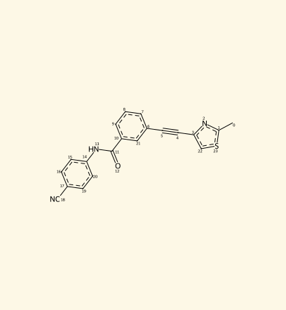 Cc1nc(C#Cc2cccc(C(=O)Nc3ccc(C#N)cc3)c2)cs1